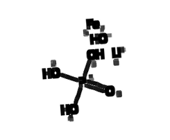 O=P(O)(O)O.[Fe].[Li+].[OH-]